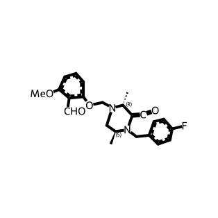 COc1cccc(OCN2C[C@H](C)N(Cc3ccc(F)cc3)C(=C=O)[C@H]2C)c1C=O